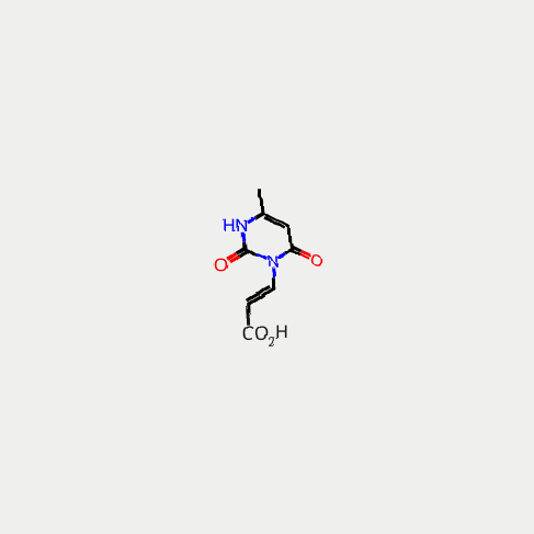 Cc1cc(=O)n(C=CC(=O)O)c(=O)[nH]1